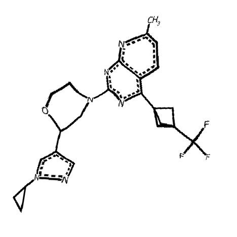 Cc1ccc2c(C34CC(C(F)(F)F)(C3)C4)nc(N3CCOC(c4cnn(C5CC5)c4)C3)nc2n1